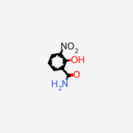 NC(=O)c1cccc([N+](=O)[O-])c1O